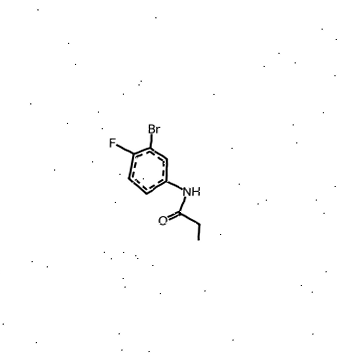 CCC(=O)Nc1ccc(F)c(Br)c1